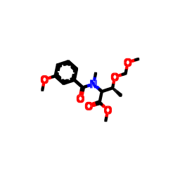 COCO[C@@H](C)C(C(=O)OC)N(C)C(=O)c1cccc(OC)c1